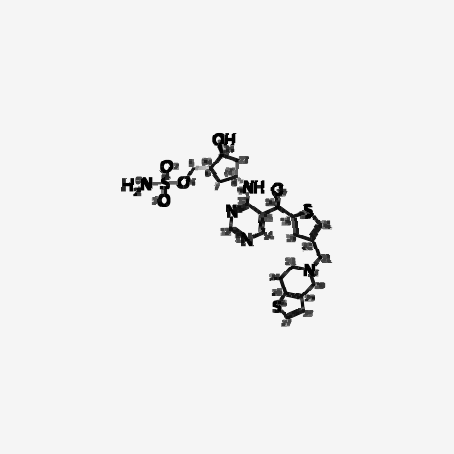 NS(=O)(=O)OC[C@H]1C[C@@H](Nc2ncncc2C(=O)c2cc(CN3CCc4sccc4C3)cs2)C[C@@H]1O